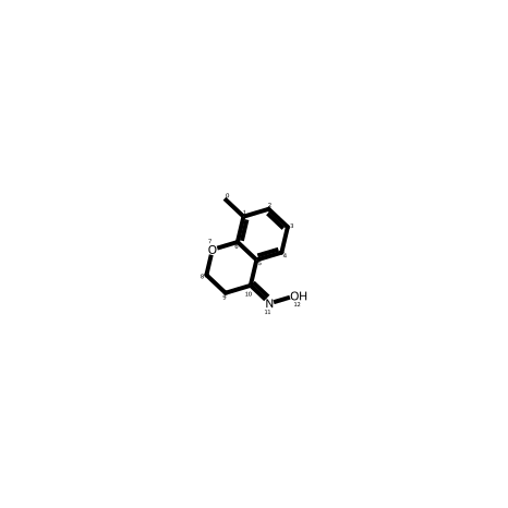 Cc1cccc2c1OCC/C2=N/O